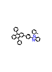 CC1C=CC=CC1n1c(-c2c#cc(-c3ccc4c(-c5ccccc5)c5ccccc5c(-c5ccccc5)c4c3)cc2)nc2ccccc21